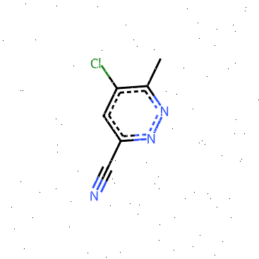 Cc1nnc(C#N)cc1Cl